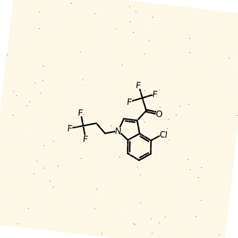 O=C(c1cn(CCC(F)(F)F)c2cccc(Cl)c12)C(F)(F)F